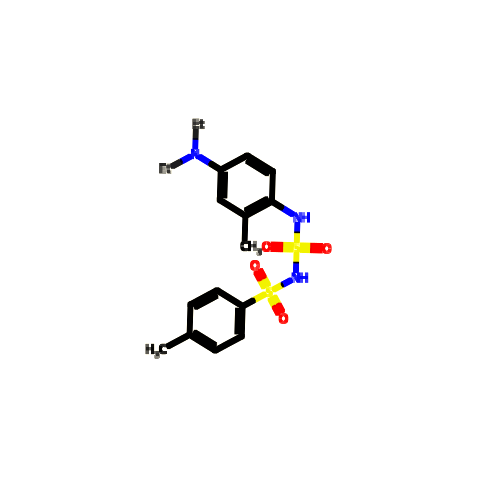 CCN(CC)c1ccc(NS(=O)(=O)NS(=O)(=O)c2ccc(C)cc2)c(C)c1